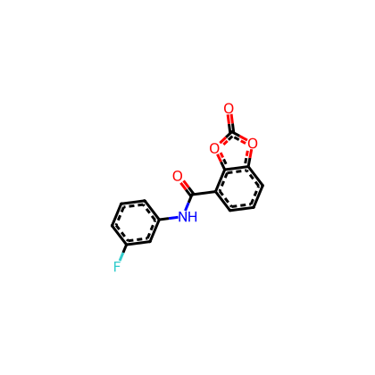 O=C(Nc1cccc(F)c1)c1cccc2oc(=O)oc12